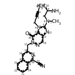 CC#CCn1c(N(C)CC(C)N)nc2cnn(Cc3cc4ccccc4c(C#N)n3)c(=O)c21